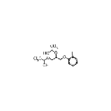 Cc1ccccc1OCC(COC(O)C(Cl)(Cl)Cl)OC(O)C(Cl)(Cl)Cl